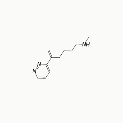 C=C(CCCCNC)c1cccnn1